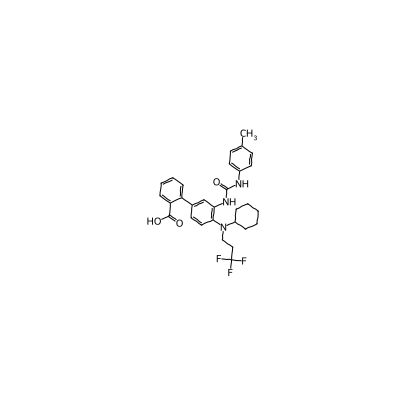 Cc1ccc(NC(=O)Nc2cc(-c3ccccc3C(=O)O)ccc2N(CCC(F)(F)F)C2CCCCC2)cc1